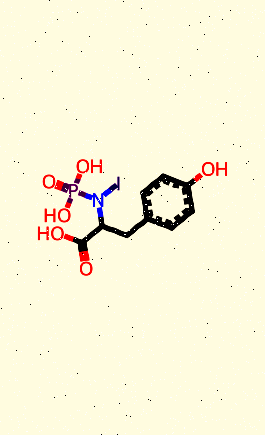 O=C(O)C(Cc1ccc(O)cc1)N(I)P(=O)(O)O